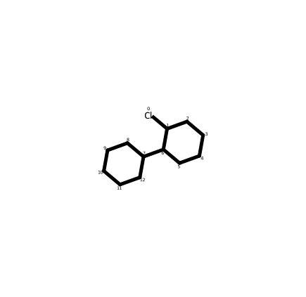 ClC1CCCCC1C1CCCCC1